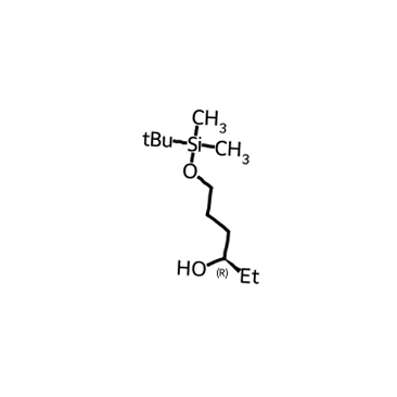 CC[C@@H](O)CCCO[Si](C)(C)C(C)(C)C